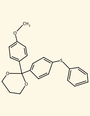 COc1ccc(C2(c3ccc(Sc4ccccc4)cc3)OCCCO2)cc1